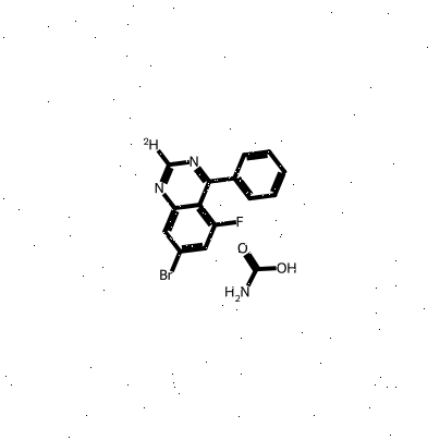 NC(=O)O.[2H]c1nc(-c2ccccc2)c2c(F)cc(Br)cc2n1